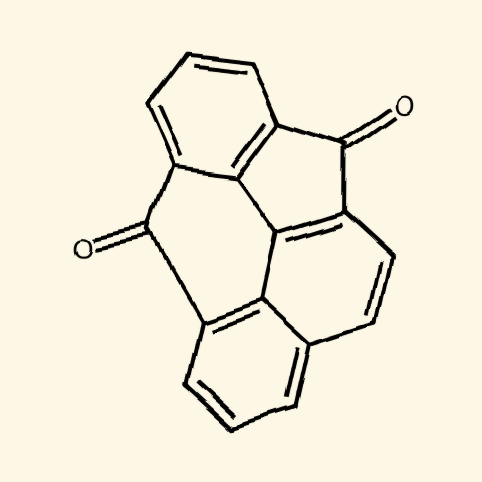 O=C1c2cccc3c2-c2c1ccc1cccc(c21)C3=O